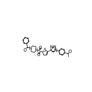 CC(=O)c1ccc(-n2cc(C3=CCC(S(=O)(=O)N4CCN(C(=O)c5ccccc5)C[C@H]4C)S3)nn2)cc1